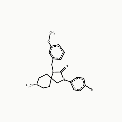 COc1cccc(CN2C(=O)N(c3ccc(Br)cc3)CC23CCN(C)CC3)c1